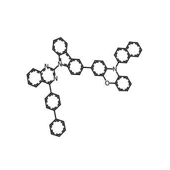 c1ccc(-c2ccc(-c3nc(-n4c5ccccc5c5cc(-c6ccc7c(c6)Oc6ccccc6N7c6ccc7ccccc7c6)ccc54)nc4ccccc34)cc2)cc1